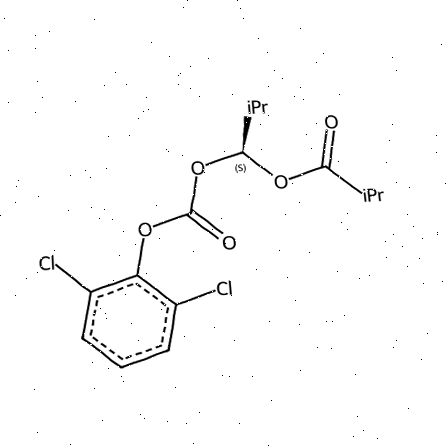 CC(C)C(=O)O[C@@H](OC(=O)Oc1c(Cl)cccc1Cl)C(C)C